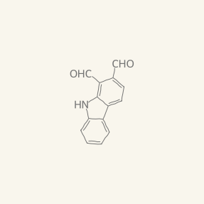 O=Cc1ccc2c([nH]c3ccccc32)c1C=O